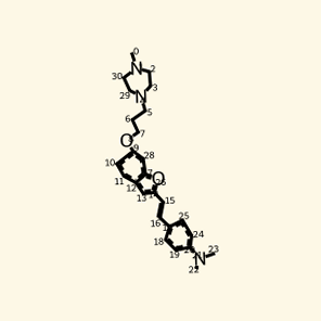 CN1CCN(CCCOc2ccc3cc(/C=C/c4ccc(N(C)C)cc4)oc3c2)CC1